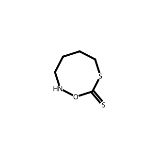 S=C1ONCCCCS1